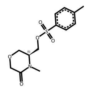 Cc1ccc(S(=O)(=O)OC[C@@H]2COCC(=O)N2C)cc1